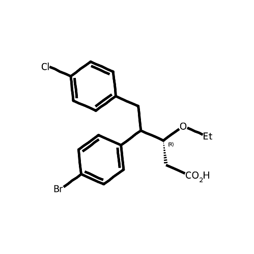 CCO[C@H](CC(=O)O)C(Cc1ccc(Cl)cc1)c1ccc(Br)cc1